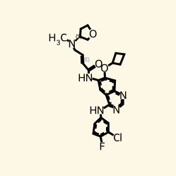 CN(C/C=C/C(=O)Nc1cc2c(Nc3ccc(F)c(Cl)c3)ncnc2cc1OC1CCC1)[C@H]1CCOC1